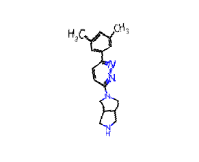 Cc1cc(C)cc(-c2ccc(N3CC4CNCC4C3)nn2)c1